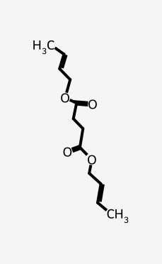 CC=CCOC(=O)CCC(=O)OCC=CC